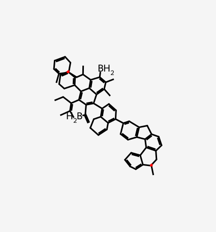 BC(=C)c1c(C(CC)=C(C)C)c(C2=CC=CCC2)c2c(C(C)CC3CC=CC=C3C)c(B)c(C)c(C)c2c1-c1ccc(-c2ccc3c(c2)Cc2ccc(CCC)c(-c4ccccc4C)c2-3)c2c1CCC=C2